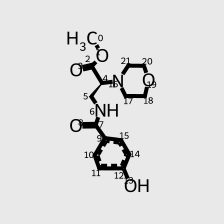 COC(=O)[C@H](CNC(=O)c1ccc(O)cc1)N1CCOCC1